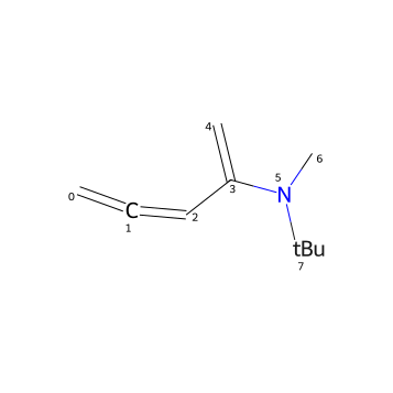 C=C=CC(=C)N(C)C(C)(C)C